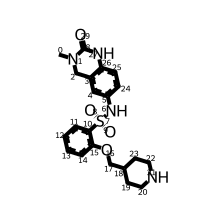 CN1Cc2cc(NS(=O)(=O)c3ccccc3OCC3CCNCC3)ccc2NC1=O